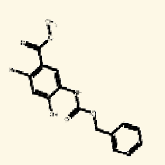 COC(=O)c1cc(NC(=O)OCc2ccccc2)c(O)cc1Br